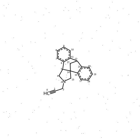 C#CCN1CC2c3ccccc3C3CC2(C1)c1ccccc13